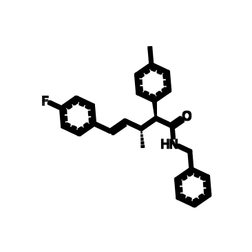 Cc1ccc([C@@H](C(=O)NCc2ccccc2)[C@H](C)/C=C/c2ccc(F)cc2)cc1